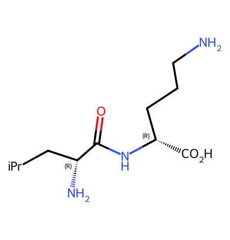 CC(C)C[C@@H](N)C(=O)N[C@H](CCCN)C(=O)O